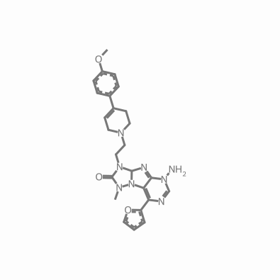 COc1ccc(C2=CCN(CCN3C(=O)N(C)N4C5=C(c6ccco6)N=CN(N)C5=NC34)CC2)cc1